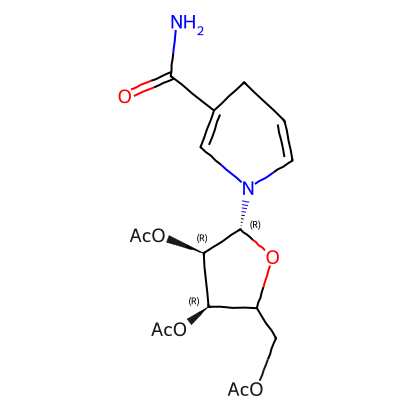 CC(=O)OCC1O[C@@H](N2C=CCC(C(N)=O)=C2)[C@H](OC(C)=O)[C@@H]1OC(C)=O